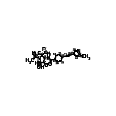 CC(=O)NC(C)(C(F)F)[C@H](NC(=O)c1ccc(C#Cc2cnn(C)c2)cc1)C(=O)NO